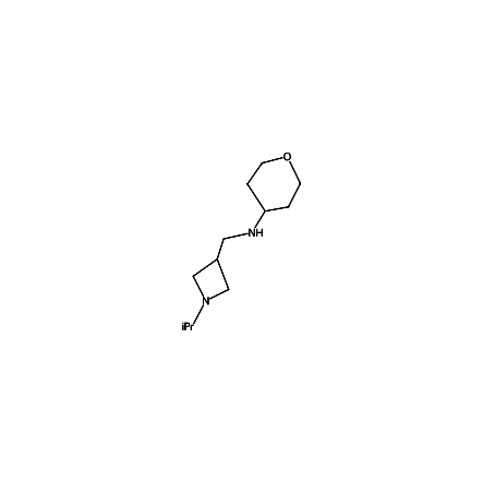 CC(C)N1CC(CNC2CCOCC2)C1